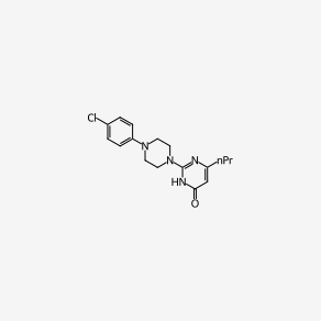 CCCc1cc(=O)[nH]c(N2CCN(c3ccc(Cl)cc3)CC2)n1